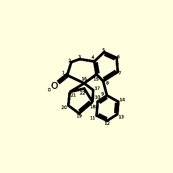 O=C1CCc2cccc(-c3ccccc3)c2C12CC1=CCC2C1